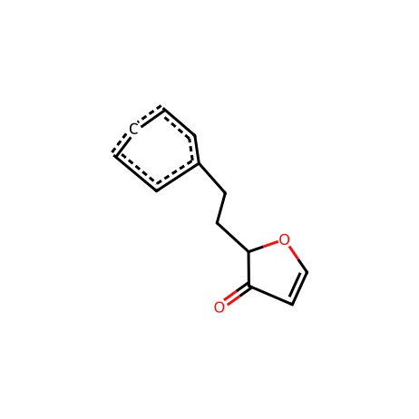 O=C1C=COC1CCc1ccccc1